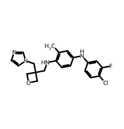 Cc1cc(Nc2ccc(Cl)c(F)c2)ccc1NCC1(Cn2ccnc2)COC1